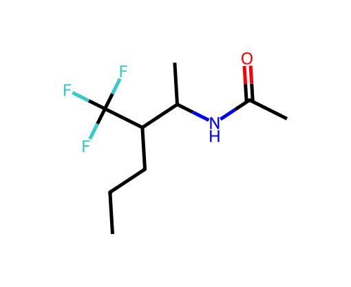 CCCC(C(C)NC(C)=O)C(F)(F)F